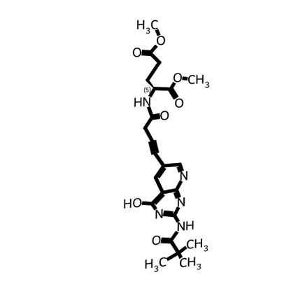 COC(=O)CC[C@H](NC(=O)CC#Cc1cnc2nc(NC(=O)C(C)(C)C)nc(O)c2c1)C(=O)OC